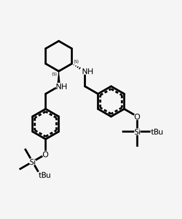 CC(C)(C)[Si](C)(C)Oc1ccc(CN[C@H]2CCCC[C@@H]2NCc2ccc(O[Si](C)(C)C(C)(C)C)cc2)cc1